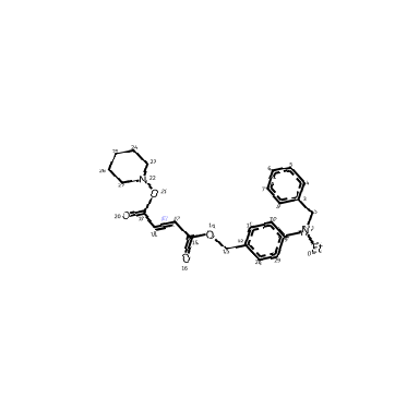 CCN(Cc1ccccc1)c1ccc(COC(=O)/C=C/C(=O)ON2CCCCC2)cc1